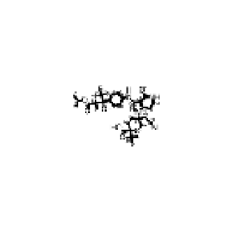 CC(C)OC(=O)C(C)(C)C(O)(c1ccc(Nc2nn(C3(CC#N)CCC(C(=O)O)(C(C)(C)C)OC3)c3cc[nH]c(=O)c23)cc1)C(F)(F)F